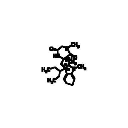 CCC(CC)[C@@]1(CC2(N)NC(=O)CN(C)C2=O)C2=CCCC=C2N(C)[C@@H]1C